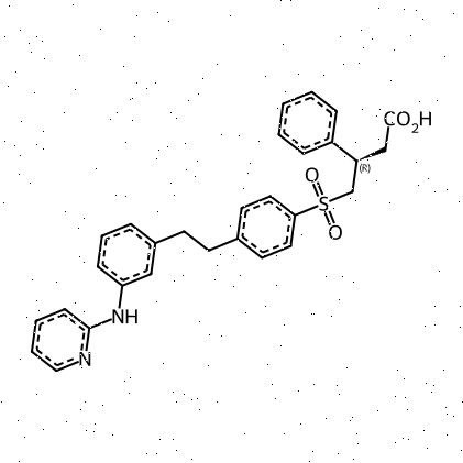 O=C(O)C[C@@H](CS(=O)(=O)c1ccc(CCc2cccc(Nc3ccccn3)c2)cc1)c1ccccc1